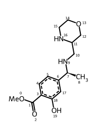 COC(=O)c1ccc([C@H](C)NCC2COCCN2)cc1O